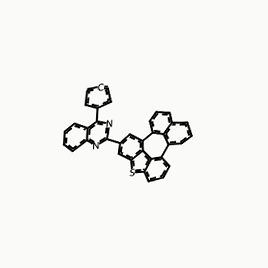 c1ccc(-c2nc(-c3cc4c5c(c3)sc3cccc(c35)-c3cccc5cccc-4c35)nc3ccccc23)cc1